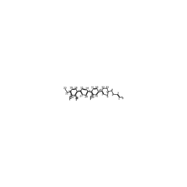 C/C=C/CCC1CC=C(c2ccc(-c3ccc(-c4ccc(CC)c(F)c4F)cc3)c(F)c2)CC1